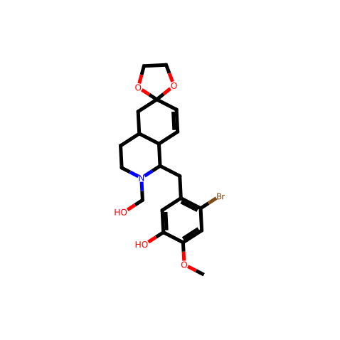 COc1cc(Br)c(CC2C3C=CC4(CC3CCN2CO)OCCO4)cc1O